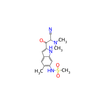 Cc1cc2cc(C(=O)C(C#N)N(C)C)[nH]c2cc1NS(C)(=O)=O